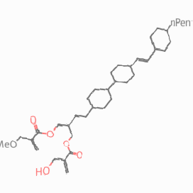 C=C(CO)C(=O)OCC(CCC1CCC(C2CCC(/C=C/C3CCC(CCCCC)CC3)CC2)CC1)COC(=O)C(=C)COC